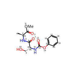 COC(=O)[C@H](C)NC(=O)[C@@H](CO)NC(=O)Oc1ccccc1